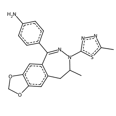 Cc1nnc(N2N=C(c3ccc(N)cc3)c3cc4c(cc3CC2C)OCO4)s1